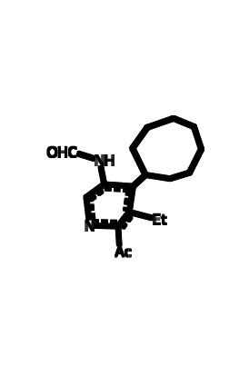 CCc1c(C(C)=O)ncc(NC=O)c1C1CCCCCCC1